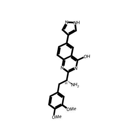 COc1ccc(C[C@@H](N)c2nc(O)c3cc(-c4cn[nH]c4)ccc3n2)cc1OC